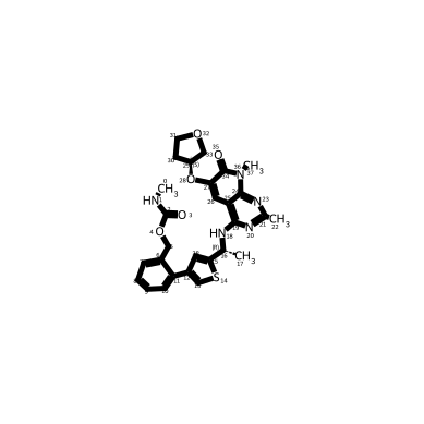 CNC(=O)OCc1ccccc1-c1csc([C@@H](C)Nc2nc(C)nc3c2cc(O[C@H]2CCOC2)c(=O)n3C)c1